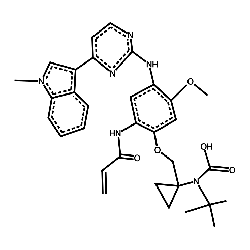 C=CC(=O)Nc1cc(Nc2nccc(-c3cn(C)c4ccccc34)n2)c(OC)cc1OCC1(N(C(=O)O)C(C)(C)C)CC1